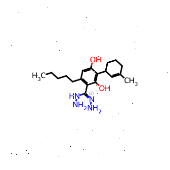 CCCCCc1cc(O)c(C2C=C(C)CCC2)c(O)c1/C(=N/N)NN